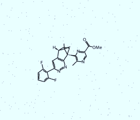 COC(=O)c1cnc(C)c([C@@]23CC[C@@H](c4cc(-c5c(F)cccc5F)nnc42)C3(C)C)n1